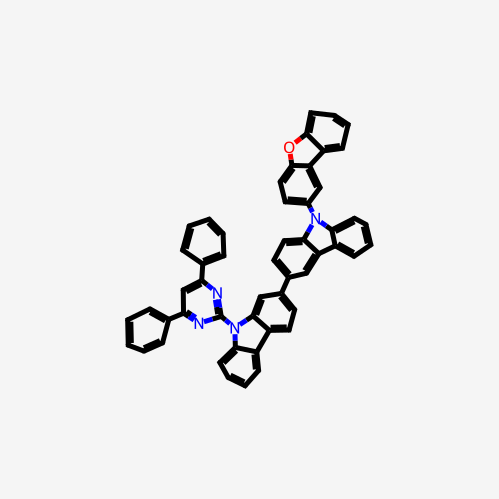 c1ccc(-c2cc(-c3ccccc3)nc(-n3c4ccccc4c4ccc(-c5ccc6c(c5)c5ccccc5n6-c5ccc6oc7ccccc7c6c5)cc43)n2)cc1